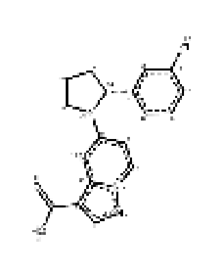 O=C(O)c1cnn2ccc(N3CCC[C@@H]3c3cccc(Cl)c3)nc12